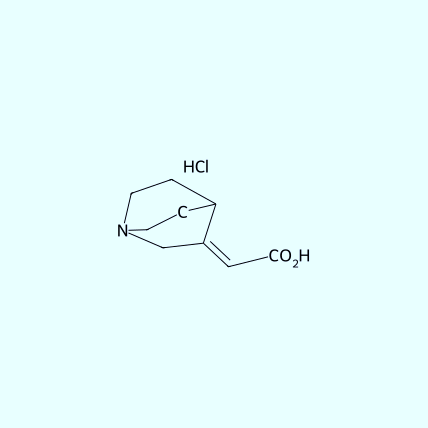 Cl.O=C(O)C=C1CN2CCC1CC2